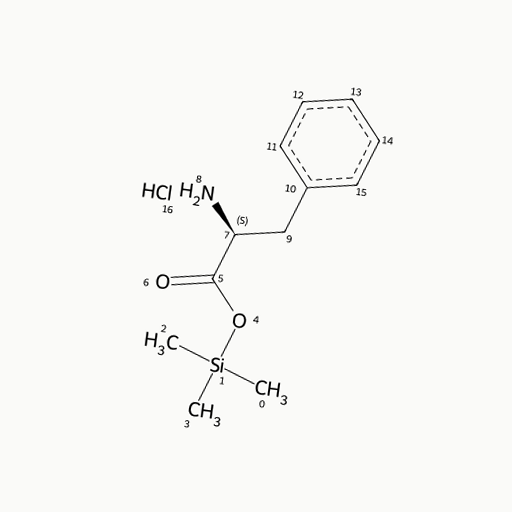 C[Si](C)(C)OC(=O)[C@@H](N)Cc1ccccc1.Cl